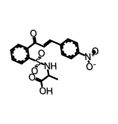 CC(NS(=O)(=O)c1ccccc1C(=O)C=Cc1ccc([N+](=O)[O-])cc1)C(=O)O